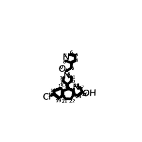 O=C(Cc1cccnc1)N1CCC(=C2c3ccc(Cl)cc3CCc3cc(O)cnc32)CC1